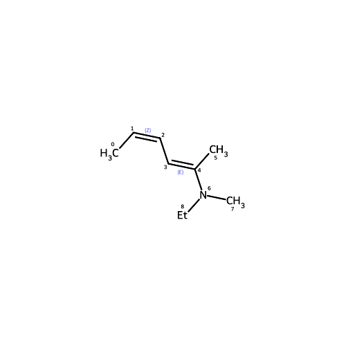 C/C=C\C=C(/C)N(C)CC